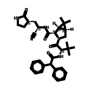 CC(C)(C)[C@H](NC(=O)C(c1ccccc1)c1ccccc1)C(=O)N1C[C@H]2[C@@H]([C@H]1C(=O)N[C@H](C#N)C[C@@H]1CCNC1=O)C2(C)C